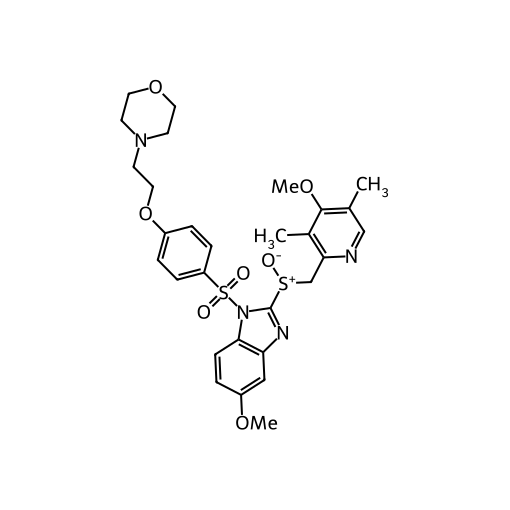 COc1ccc2c(c1)nc([S+]([O-])Cc1ncc(C)c(OC)c1C)n2S(=O)(=O)c1ccc(OCCN2CCOCC2)cc1